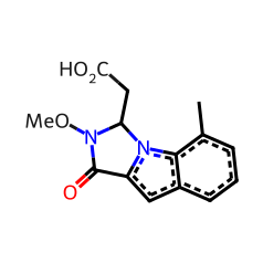 CON1C(=O)c2cc3cccc(C)c3n2C1CC(=O)O